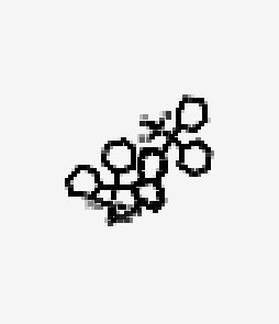 COc1ccc2cc(C(C3CCCCC3)(C3CCCCC3)P(=O)(O)O)ccc2c1C(C1CCCCC1)(C1CCCCC1)P(=O)(O)O